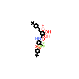 CC(C)(C)c1ccc(CCc2cc(C(=O)Nc3ccc(S(=O)(=O)c4ccc(C(C)(C)C)cc4)c(C(F)(F)F)c3)c(O)c(O)c2O)cc1